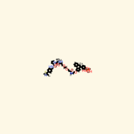 CC/C(=C(/c1ccc(OCCN(C)C(=O)CCOCCOCCC(=O)NC(C(=O)N2CCC[C@H]2C(=O)NCc2ccc(-c3scnc3C)cc2)C(C)(C)C)cc1)c1ccc(OP(=O)(O)O)cc1)c1ccccc1